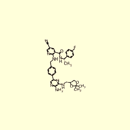 C[C@H](NC(=O)c1cc(C#N)cnc1NCc1ccc(-c2cnc(N)c(NCC3COC(C)(C)O3)n2)cc1)c1ccc(F)cc1